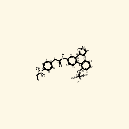 CCS(=O)(=O)c1ccc(CC(=O)Nc2ccc(-c3ccccc3OC(F)(F)F)c(-c3ccno3)c2)cc1